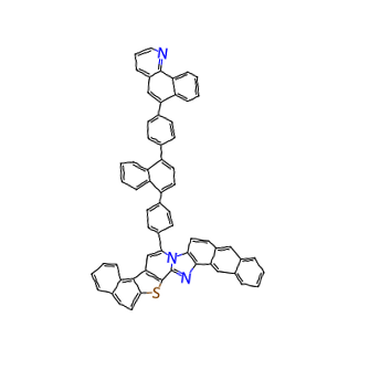 c1ccc2cc3c(ccc4c3nc3c5sc6ccc7ccccc7c6c5cc(-c5ccc(-c6ccc(-c7ccc(-c8cc9cccnc9c9ccccc89)cc7)c7ccccc67)cc5)n43)cc2c1